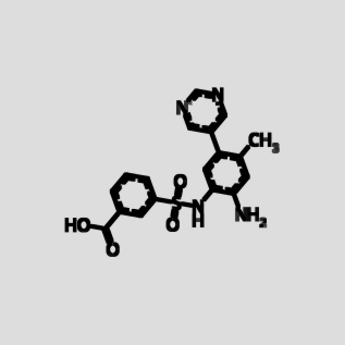 Cc1cc(N)c(NS(=O)(=O)c2cccc(C(=O)O)c2)cc1-c1cncnc1